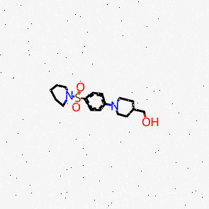 O=S(=O)(c1ccc(N2CCC(CO)CC2)cc1)N1CCCCC1